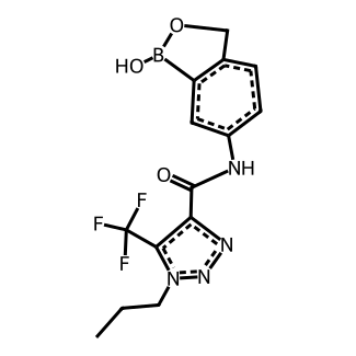 CCCn1nnc(C(=O)Nc2ccc3c(c2)B(O)OC3)c1C(F)(F)F